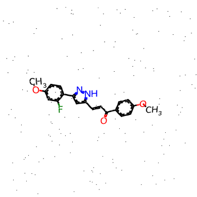 COc1ccc(C(=O)C=Cc2cc(-c3ccc(OC)cc3F)n[nH]2)cc1